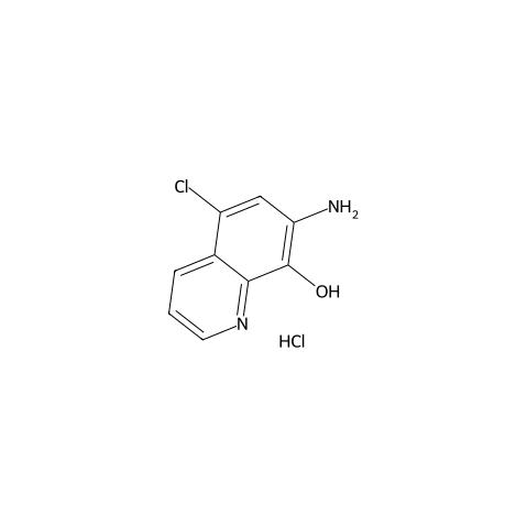 Cl.Nc1cc(Cl)c2cccnc2c1O